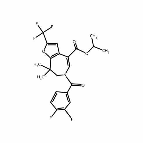 CC(C)OC(=O)C1=CN(C(=O)c2ccc(F)c(F)c2)CC(C)(C)c2oc(C(F)(F)F)cc21